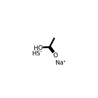 CC(=O)O.[Na+].[SH-]